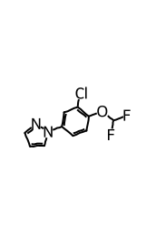 FC(F)Oc1ccc(-n2cccn2)cc1Cl